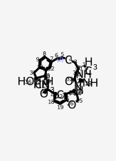 CC[C@]12CC/C=C\c3ccc4c(c3)[C@@H](NC(=O)c3ccc5c(c3)[C@@H](CCO5)N(C(=N)N1)C(=O)C2)[C@](C)(O)C4